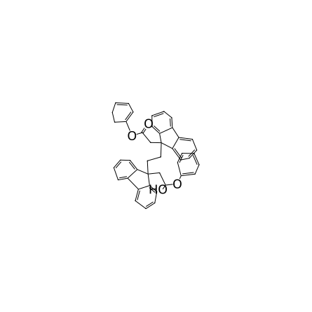 O=C(CC1(CCC2(CC(O)Oc3ccccc3)c3ccccc3-c3ccccc32)c2ccccc2-c2ccccc21)OC1=CC=CCC1